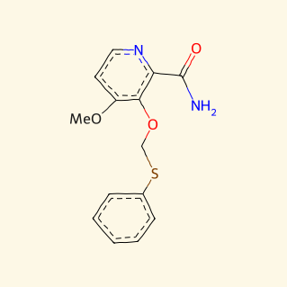 COc1ccnc(C(N)=O)c1OCSc1ccccc1